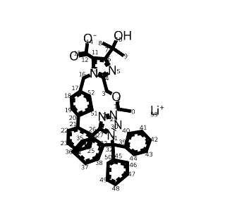 CCOCc1nc(C(C)(C)O)c(C(=O)[O-])n1Cc1ccc(-c2ccccc2-c2nnnn2C(c2ccccc2)(c2ccccc2)c2ccccc2)cc1.[Li+]